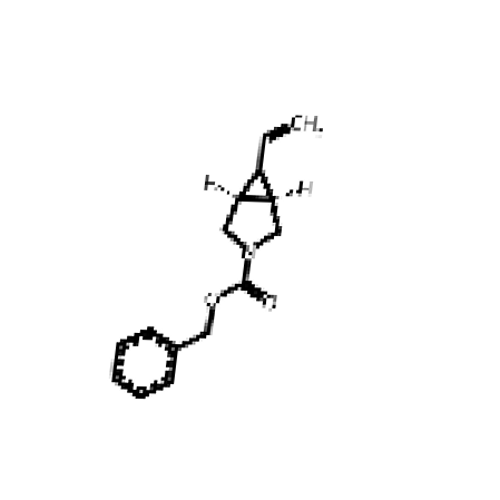 C=CC1[C@H]2CN(C(=O)OCc3ccccc3)C[C@@H]12